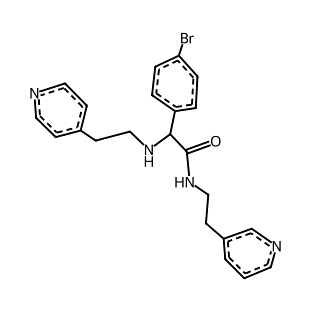 O=C(NCCc1cccnc1)C(NCCc1ccncc1)c1ccc(Br)cc1